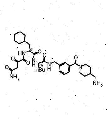 CC[C@H](C)[C@H](NC(=O)[C@H](CC1CCCCC1)NC(=O)C(=O)CC(N)=O)C(=O)NCc1cccc(C(=O)N2CCC(CN)CC2)c1